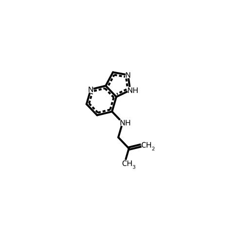 C=C(C)CNc1ccnc2cn[nH]c12